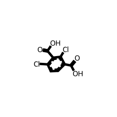 O=C(O)c1ccc(Cl)c(C(=O)O)c1Cl